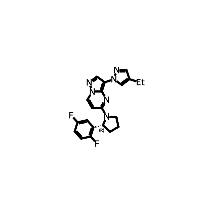 CCc1cnn(-c2cnn3ccc(N4CCC[C@@H]4c4cc(F)ccc4F)nc23)c1